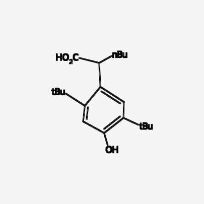 CCCCC(C(=O)O)c1cc(C(C)(C)C)c(O)cc1C(C)(C)C